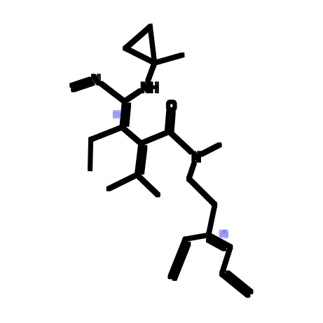 C=C/C=C(\C=C)CCN(C)C(=O)C(=C(C)C)/C(CC)=C(/N=C)NC1(C)CC1